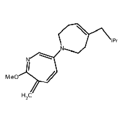 C=C1C=CC(N2CCC=C(CC(C)C)CC2)=CN=C1OC